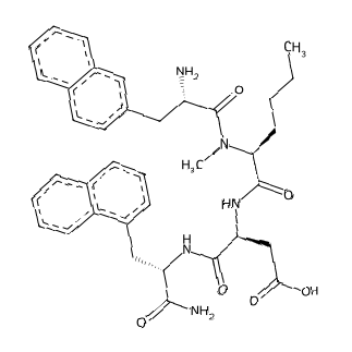 CCCC[C@@H](C(=O)N[C@@H](CC(=O)O)C(=O)N[C@@H](Cc1cccc2ccccc12)C(N)=O)N(C)C(=O)[C@@H](N)Cc1ccc2ccccc2c1